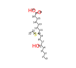 CCCCCC(O)CCCC(CCCCCCC(=O)O)SCC